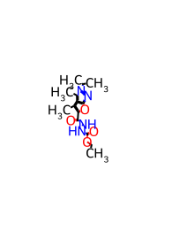 CCOC(=O)NNC(=O)c1oc2nn(C(C)C)c(C)c2c1C